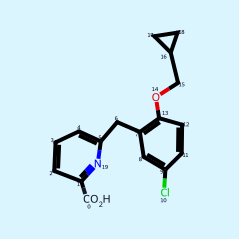 O=C(O)c1cccc(Cc2cc(Cl)ccc2OCC2CC2)n1